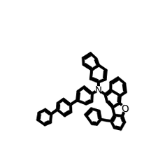 c1ccc(-c2ccc(-c3ccc(N(c4ccc5ccccc5c4)c4cc5c(oc6cccc(-c7ccccc7)c65)c5ccccc45)cc3)cc2)cc1